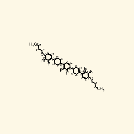 CCCCOc1ccc(C2=CCC(c3ccc(C4CCC(c5ccc(OCCCC)c(F)c5F)CC4)c(F)c3F)CC2)c(F)c1F